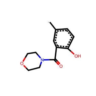 [CH2]c1ccc(O)c(C(=O)N2CCOCC2)c1